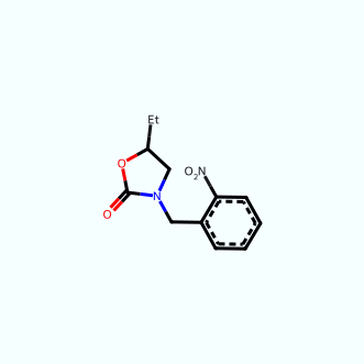 CCC1CN(Cc2ccccc2[N+](=O)[O-])C(=O)O1